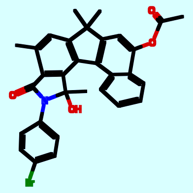 CC(=O)Oc1cc2c(c3ccccc13)-c1c(cc(C)c3c1C(C)(O)N(c1ccc(Br)cc1)C3=O)C2(C)C